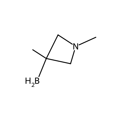 BC1(C)CN(C)C1